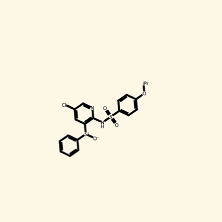 CC(C)Oc1ccc(S(=O)(=O)Nc2ncc(Cl)cc2[S+]([O-])c2ccccc2)cc1